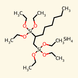 CCCCCCC(C[Si](OCC)(OCC)OCC)[Si](OCC)(OCC)OCC.[SiH4]